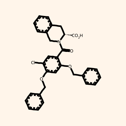 O=C(O)[C@H]1Cc2ccccc2CN1C(=O)c1cc(Cl)c(OCc2ccccc2)cc1OCc1ccccc1